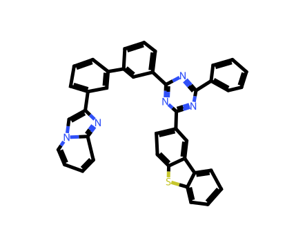 c1ccc(-c2nc(-c3cccc(-c4cccc(-c5cn6ccccc6n5)c4)c3)nc(-c3ccc4sc5ccccc5c4c3)n2)cc1